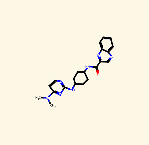 CN(C)c1ccnc(NC2CCC(NC(=O)c3cnc4ccccc4n3)CC2)n1